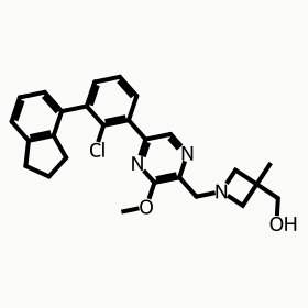 COc1nc(-c2cccc(-c3cccc4c3CCC4)c2Cl)cnc1CN1CC(C)(CO)C1